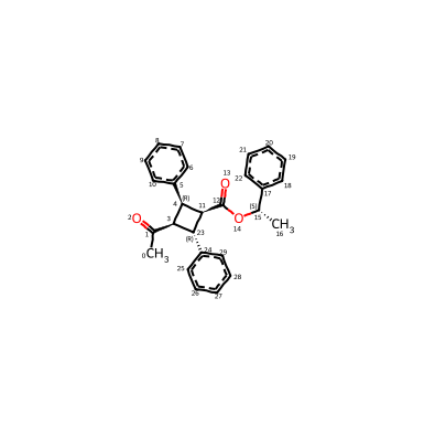 CC(=O)[C@H]1[C@@H](c2ccccc2)[C@@H](C(=O)O[C@@H](C)c2ccccc2)[C@@H]1c1ccccc1